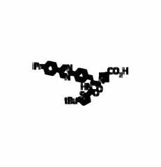 CC(C)C1CC=C(c2cnc(-c3ccc(C[C@H](NC(=O)c4ccc(C(C)(C)C)s4)C(=O)N4CC(C(=O)O)C4)cc3)nc2)CC1